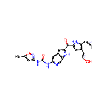 C/C=C\c1[nH]c(C(=O)c2cc3cc(NC(=O)Nc4cc(C(C)(C)C)on4)ncc3[nH]2)cc1/C=C/O